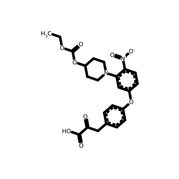 CCOC(=O)OC1CCN(c2cc(Oc3ccc(CC(=O)C(=O)O)cc3)ccc2[N+](=O)[O-])CC1